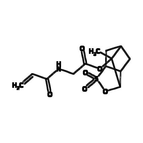 C=CC(=O)NCC(=O)OC1(C)C2CC3C1OS(=O)(=O)C3C2